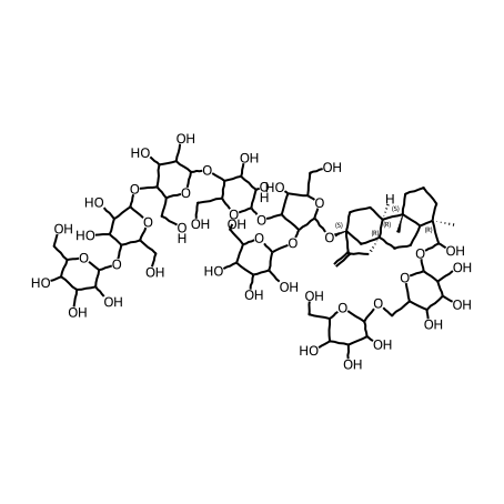 C=C1C[C@@]23CCC4[C@](C)(C(O)OC5OC(COC6OC(CO)C(O)C(O)C6O)C(O)C(O)C5O)CCC[C@@]4(C)[C@@H]2CC[C@]1(OC1OC(CO)C(O)C(OC2OC(CO)C(OC4OC(CO)C(OC5OC(CO)C(OC6OC(CO)C(O)C(O)C6O)C(O)C5O)C(O)C4O)C(O)C2O)C1OC1OC(CO)C(O)C(O)C1O)C3